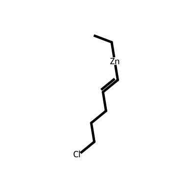 C[CH2][Zn]/[CH]=C/CCCCl